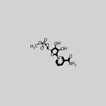 COP(=O)([O-])OC[C@H]1OC([n+]2cccc(C(N)=O)c2)[C@H](O)[C@@H]1O